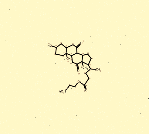 CC(CCC(=O)OCCS(=O)(=O)O)C1CCC2C3C(=O)CC4CC(O)CCC4(C)C3CC(=O)C12C